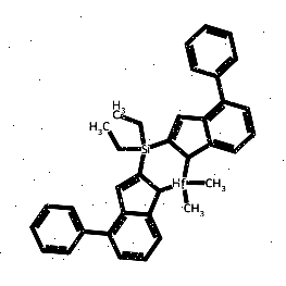 CC[Si]1(CC)C2=Cc3c(-c4ccccc4)cccc3[CH]2[Hf]([CH3])([CH3])[CH]2C1=Cc1c(-c3ccccc3)cccc12